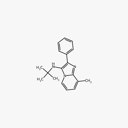 Cc1cccn2c(NC(C)(C)C)c(-c3ccccc3)nc12